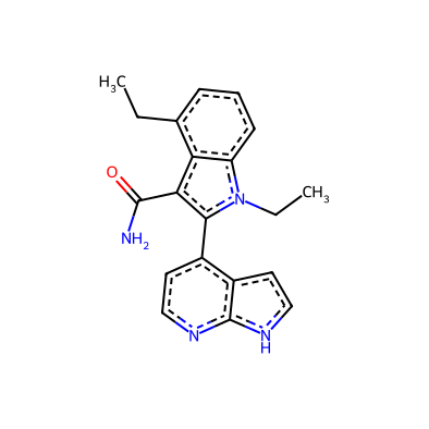 CCc1cccc2c1c(C(N)=O)c(-c1ccnc3[nH]ccc13)n2CC